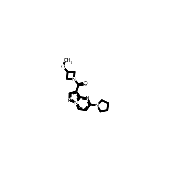 COC1CN(C(=O)c2cnn3ccc(N4CCCC4)nc23)C1